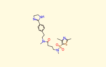 Cc1nc(C)c(S(=O)(=O)N(C)CCCC(=O)N(C)CCc2ccc(C3=NCCN3)cc2)s1